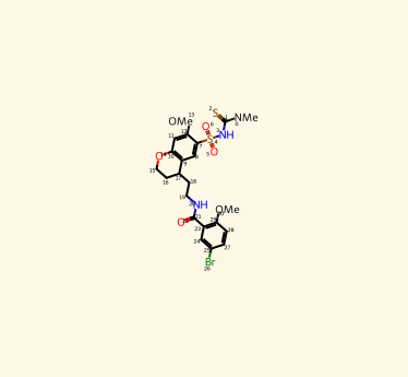 CNC(=S)NS(=O)(=O)c1cc2c(cc1OC)OCCC2CCNC(=O)c1cc(Br)ccc1OC